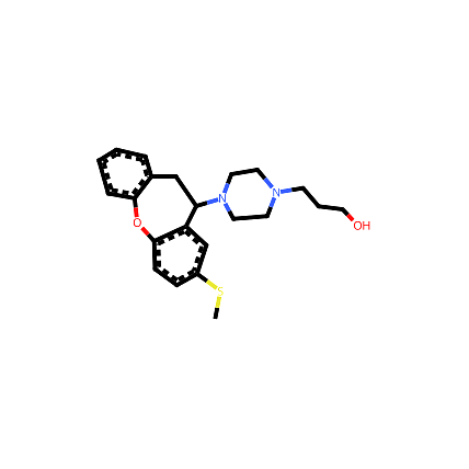 CSc1ccc2c(c1)C(N1CCN(CCCO)CC1)Cc1ccccc1O2